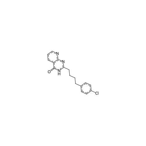 O=c1[nH]c(CCCCc2ccc(Cl)cc2)nc2ncccc12